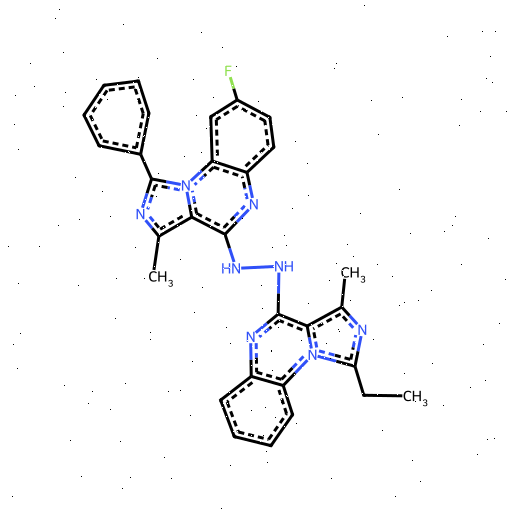 CCc1nc(C)c2c(NNc3nc4ccc(F)cc4n4c(-c5ccccc5)nc(C)c34)nc3ccccc3n12